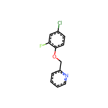 Fc1cc(Cl)ccc1OCc1ccccn1